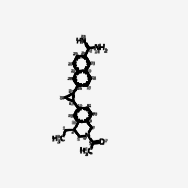 CCC1CN(C(C)=O)Cc2ccc(C3CC3c3ccc4cc(C(=N)N)ccc4c3)cc21